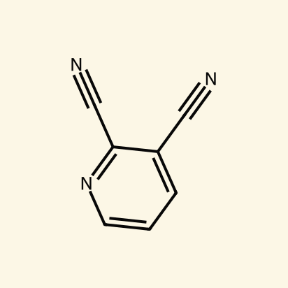 N#Cc1cccnc1C#N